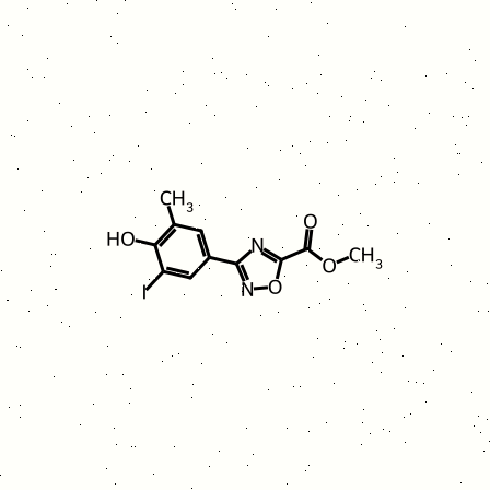 COC(=O)c1nc(-c2cc(C)c(O)c(I)c2)no1